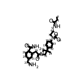 CCC(=O)NC[C@H]1CN(c2ccc(C3(C)CN(C(=O)Cc4cc(CN)ccc4C(N)=O)C3)cc2)C(=O)O1